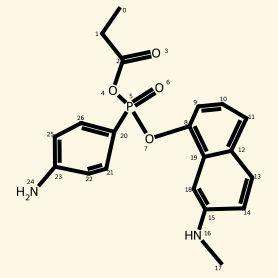 CCC(=O)OP(=O)(Oc1cccc2ccc(NC)cc12)c1ccc(N)cc1